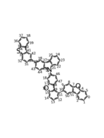 c1ccc2c(c1)oc1ccc(-c3cccc4oc5cc(-n6c7ccccc7c7cc(-c8ccc9sc%10ccccc%10c9c8)ccc76)ccc5c34)cc12